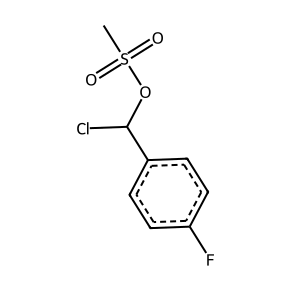 CS(=O)(=O)OC(Cl)c1ccc(F)cc1